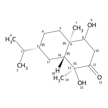 CC(C)[C@@H]1CC[C@@]2(C)C(O)CC(=O)[C@@](C)(O)[C@@H]2C1